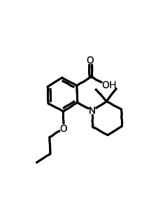 CCCOc1cccc(C(=O)O)c1N1CCCCC1(C)C